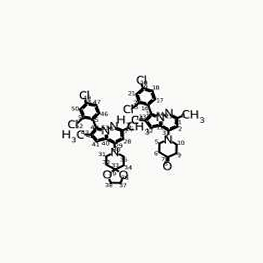 Cc1cc(N2CCC(=O)CC2)c2cc(C)c(-c3ccc(Cl)cc3Cl)n2n1.Cc1cc(N2CCC3(CC2)OCCO3)c2cc(C)c(-c3ccc(Cl)cc3Cl)n2n1